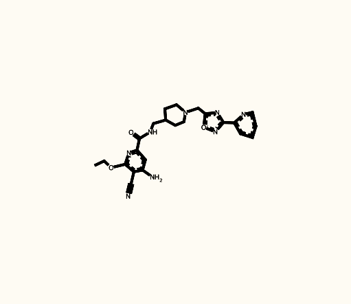 CCOc1nc(C(=O)NCC2CCN(Cc3nc(-c4ccccn4)no3)CC2)cc(N)c1C#N